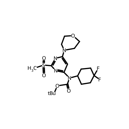 CC(C)(C)OC(=O)N(c1cc(N2CCOCC2)nc(S(C)(=O)=O)n1)C1CCC(F)(F)CC1